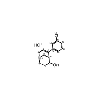 Cl.OC1CCN2CC=C(c3cccc(Cl)c3)C1C2